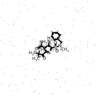 CN(Cc1ccccc1)S(=O)(=O)c1sc(C(=O)C(C)(C)C)c(C(N)=O)c1N